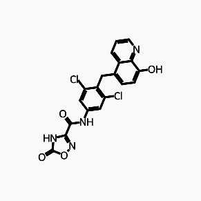 O=C(Nc1cc(Cl)c(Cc2ccc(O)c3ncccc23)c(Cl)c1)c1noc(=O)[nH]1